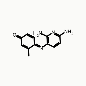 CC1=CC(=O)C=CC1=Nc1ccc(N)nc1N